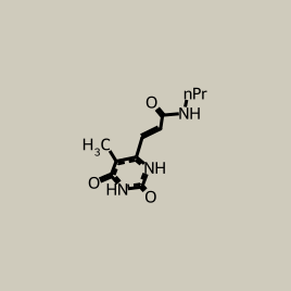 CCCNC(=O)C=Cc1[nH]c(=O)[nH]c(=O)c1C